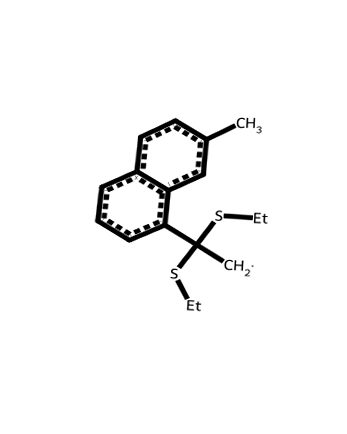 [CH2]C(SCC)(SCC)c1cccc2ccc(C)cc12